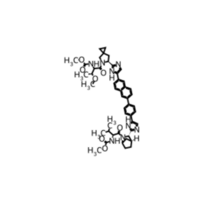 COC(=O)NC(C(=O)N1CC2(CC2)C[C@H]1c1ncc(-c2ccc3cc(-c4ccc(-c5cnc([C@@H]6[C@H]7CCC(C7)N6C(=O)[C@@H](NC(=O)OC)C(C)C)[nH]5)cc4)ccc3c2)[nH]1)[C@H](C)OC